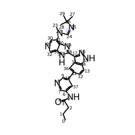 CCCC(=O)Nc1cncc(-c2ccc3[nH]nc(-c4nc5c(N(C)/C=N\C(C)(C)C)cncc5[nH]4)c3c2)c1